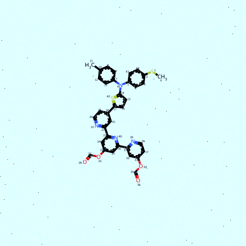 CSc1ccc(N(c2ccc(C)cc2)c2ccc(-c3ccnc(-c4cc(OC=O)cc(-c5cc(OC=O)ccn5)n4)c3)s2)cc1